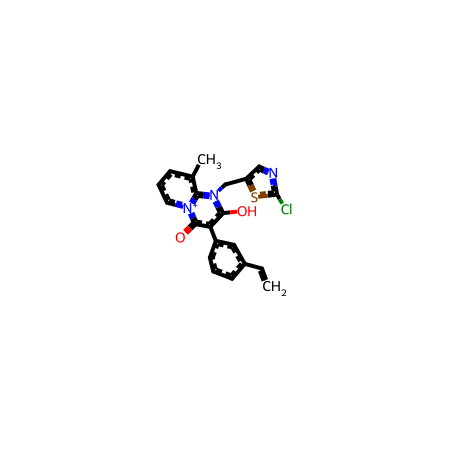 C=Cc1cccc(-c2c(O)n(Cc3cnc(Cl)s3)c3c(C)ccc[n+]3c2=O)c1